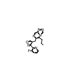 CCCc1c(Cc2conc2-c2ncccc2F)ncc2nncn12